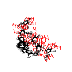 C[C@H]1[C@H](O)[C@@H](O)[C@H](OC[C@H]2O[C@@H](O[C@H](CC[C@@H](C)[C@H]3CC[C@@]4(C)[C@@H]5CC=C6[C@@H](CC[C@H](O[C@@H]7O[C@H](CO)[C@@H](O[C@@H]8O[C@H](CO)[C@@H](O)[C@H](O)[C@H]8O)[C@H](O)[C@H]7O)C6(C)C)[C@]5(C)[C@H](O)C[C@]34C)C(C)(C)O)[C@H](O[C@@H]3O[C@H](CO)[C@@H](O)[C@H](O)[C@H]3O)[C@@H](O)[C@@H]2O)O[C@@H]1CO